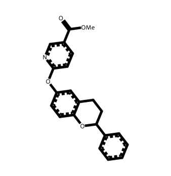 COC(=O)c1ccc(Oc2ccc3c(c2)CCC(c2ccccc2)O3)nc1